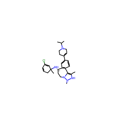 CC1=C2c3ccc(C4=CCN(C(C)C)CC4)cc3[C@@H](NC3(C)C=C(Cl)C=CC3)CCN2N(C)N1